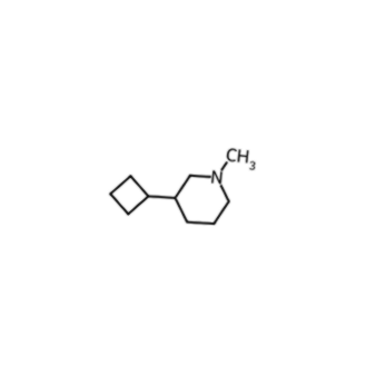 CN1CCCC(C2CCC2)C1